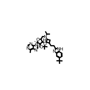 Cc1ncnc2c1ncn2[C@@]1(C)OC(CN(C(C)C)C2CC(CCc3nc4cc(C(C)(C)C)ccc4[nH]3)C2)[C@H]2OC(C)(C)O[C@H]21